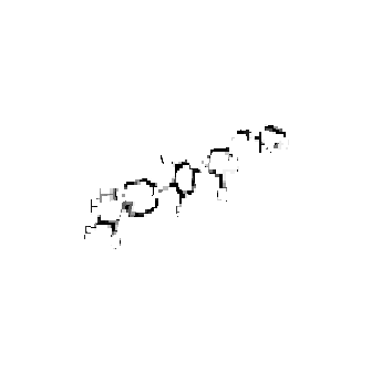 O=C(C(F)F)N1CCN(c2c(F)cc(N3C[C@H](Cn4ccnn4)OC3=O)cc2F)CCN1